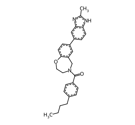 CCCCc1ccc(C(=O)N2CCOc3ccc(-c4ccc5[nH]c(C)nc5c4)cc3C2)cc1